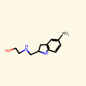 O=[N+]([O-])c1ccc2c(c1)CC(CNCCO)N2